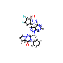 Cc1ccn2nc(C(C)n3nc(-c4cc(O)c(F)c(F)c4)c4c(N)ncnc43)n(-c3ccccc3)c(=O)c12